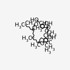 CC(=O)O.COC(=O)c1ccccc1O.Cc1c(C)c2c(c(C)c1O)CC[C@@](C)(CCC[C@H](C)CCC[C@H](C)CCCC(C)C)O2